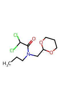 CCCN(CC1OCCCO1)C(=O)C(Cl)Cl